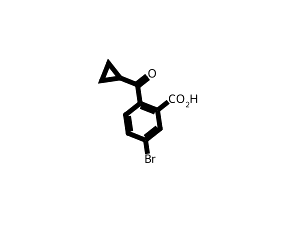 O=C(O)c1cc(Br)ccc1C(=O)C1CC1